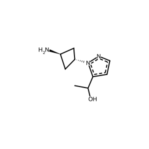 CC(O)c1ccnn1[C@H]1C[C@H](N)C1